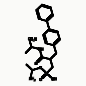 CC(N)OP(=O)(O)CC(Cc1ccc(-c2ccccc2)cc1)C(=O)NC(C)C(=O)O